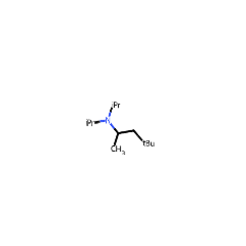 CC(C)N(C(C)C)C(C)CC(C)(C)C